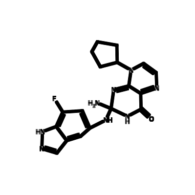 NC1(Nc2cc(F)c3[nH]ncc3c2)N=C2C(=NC=CN2C2CCCC2)C(=O)N1